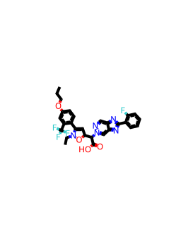 CCCOc1ccc(C2=CC(C(C(=O)O)n3cc4nc(-c5ccccc5F)nc-4cn3)ON2CC)c(C(F)(F)F)c1